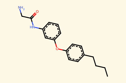 CCCCc1ccc(Oc2cccc(NC(=O)CN)c2)cc1